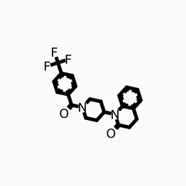 O=C(c1ccc(C(F)(F)F)cc1)N1CCC(N2C(=O)CCc3ccccc32)CC1